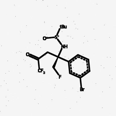 CC(C)(C)[S+]([O-])N[C@@](CF)(CC(=O)C(F)(F)F)c1cccc(Br)c1